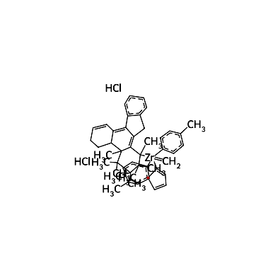 Cl.Cl.[CH2]=[Zr]([C]1=CC=CC1)([c]1ccc(C)cc1)([c]1ccc(C)cc1)[C]1(C)C2=C3Cc4ccccc4C3=C3C=CCCC3C2(C)C(C)(C)C(C)(C)C1(C)C